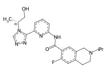 CC(C)N1CCc2cc(F)c(C(=O)Nc3cccc(-c4nncn4[C@H](C)CO)n3)cc2C1